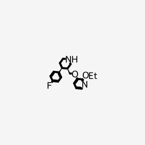 CCOc1ncccc1OC[C@@H]1CNCC[C@@H]1c1ccc(F)cc1